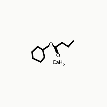 CCCC(=O)OC1CCCCC1.[CaH2]